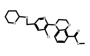 COC(=O)c1cccc2c1OCCN2c1ncc(COC2CCCCO2)cc1Cl